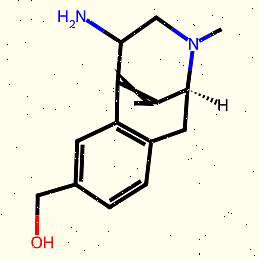 CN1CC(N)[C@@]23CCCCC2[C@@H]1Cc1ccc(CO)cc13